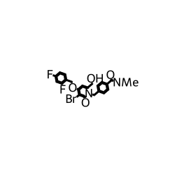 CNC(=O)c1ccc(Cn2c(CO)cc(OCc3ccc(F)cc3F)c(Br)c2=O)cc1